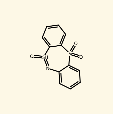 O=[SH]1=Nc2ccccc2S(=O)(=O)c2ccccc21